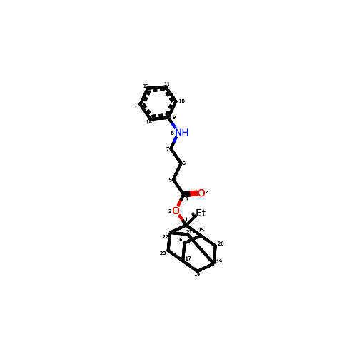 CCC1(OC(=O)CCCNc2ccccc2)C2CC3CC(C2)CC1C3